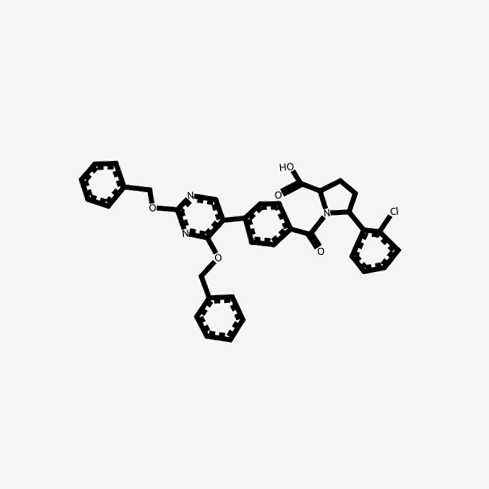 O=C(O)C1CCC(c2ccccc2Cl)N1C(=O)c1ccc(-c2cnc(OCc3ccccc3)nc2OCc2ccccc2)cc1